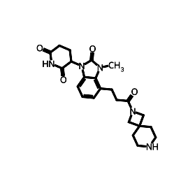 Cn1c(=O)n(C2CCC(=O)NC2=O)c2cccc(CCC(=O)N3CC4(CCNCC4)C3)c21